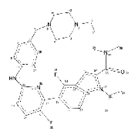 CCN1CCN(Cc2ccc(Nc3ncc(F)c(-c4ccc5c(cc(C(=O)N(C)C)n5C(C)C)c4F)n3)nc2)CC1